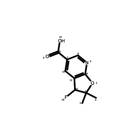 CC1(C)Oc2ncc(C(=O)O)cc2C1F